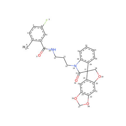 Cc1ccc(F)cc1C(=O)NCCCN1C(=O)C2(COc3cc4c(cc32)OCO4)c2ccccc21